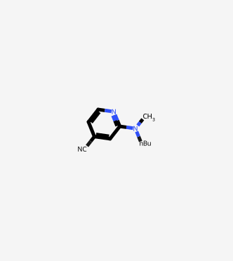 CCCCN(C)c1cc(C#N)ccn1